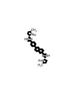 CC(=O)N1[C@@H](C)CC[C@H]1c1nc(-c2ccc(-c3ccc4cc(-c5c[nH]c([C@@H]6CC[C@H](C)N6C(C)=O)n5)ccc4c3)cc2)c[nH]1